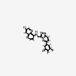 Fc1cnc2c(NCc3nnc4ccc(-c5cc(F)c(F)c(F)c5)nn34)ccnc2c1